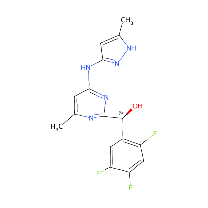 Cc1cc(Nc2cc(C)[nH]n2)nc([C@@H](O)c2cc(F)c(F)cc2F)n1